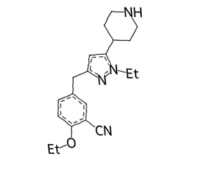 CCOc1ccc(Cc2cc(C3CCNCC3)n(CC)n2)cc1C#N